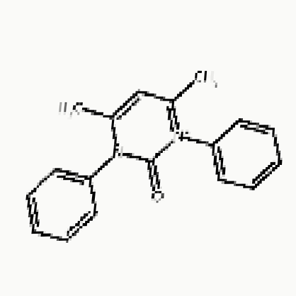 Cc1cc(C)[n+](-c2ccccc2)c(=O)n1-c1ccccc1